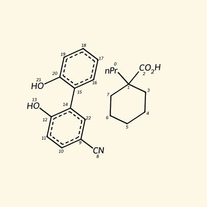 CCCC1(C(=O)O)CCCCC1.N#Cc1ccc(O)c(-c2ccccc2O)c1